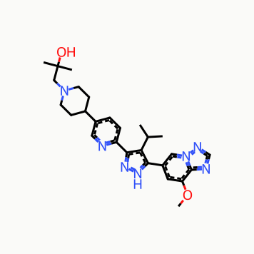 COc1cc(-c2[nH]nc(-c3ccc(C4CCN(CC(C)(C)O)CC4)cn3)c2C(C)C)cn2ncnc12